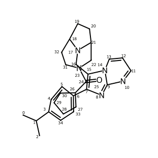 CC(C)c1ccc(-c2nc3ncccn3c2CN2C3CCC2CN(C(=O)C2CCCC2)CC3)cc1